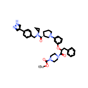 CC(C)(C)OC(=O)N1CCN(C(=O)C(Cc2ccccc2)Oc2cccc(N3CCC[C@@H](C(=O)N(Cc4ccc(-c5cn[nH]c5)cc4)C4CC4)C3)c2)CC1